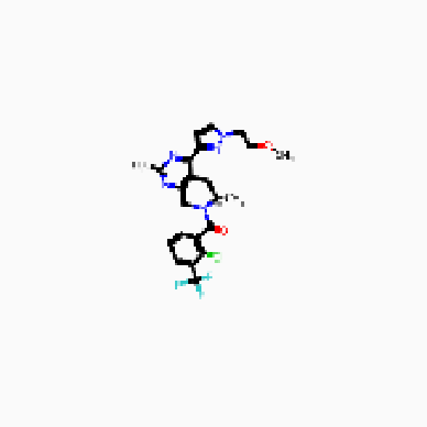 COCCn1ccc(-c2nc(C)nc3c2C[C@H](C)N(C(=O)c2cccc(C(F)(F)F)c2Cl)C3)n1